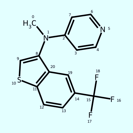 CN(c1ccncc1)c1csc2ccc(C(F)(F)F)cc12